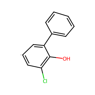 Oc1c(Cl)c[c]cc1-c1ccccc1